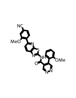 COc1cc(C#N)ccc1-c1ccc2nc(NC(=O)c3cnncc3-c3ccccc3OC)sc2n1